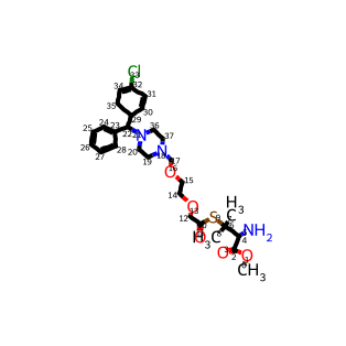 COC(=O)C(N)C(C)(C)SC(=O)COCCOCN1CCN(C(c2ccccc2)C2C=CC(Cl)=CC2)CC1